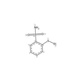 CCSc1ccccc1S(N)(=O)=O